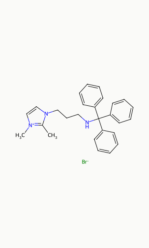 Cc1n(CCCNC(c2ccccc2)(c2ccccc2)c2ccccc2)cc[n+]1C.[Br-]